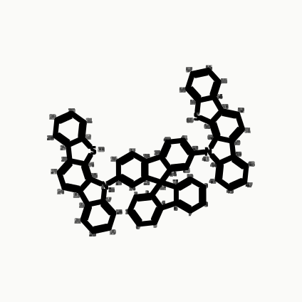 c1ccc2c(c1)-c1ccccc1C21c2cc(-n3c4ccccc4c4ccc5c6ccccc6sc5c43)ccc2-c2ccc(-n3c4ccccc4c4ccc5c6ccccc6sc5c43)cc21